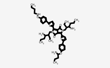 CCCCNOc1ccc(-c2ccc(C3=C4C(=O)N(CC(CC)C(N)CCC)C(c5ccc(-c6ccc(OC(N)CCC)cc6)s5)=C4C(=O)N3CC(CC)C(N)CCC)s2)cc1